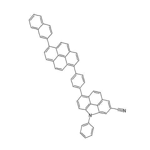 N#Cc1cc2ccc3c(-c4ccc(-c5ccc6ccc7c(-c8ccc9ccccc9c8)ccc8ccc5c6c87)cc4)ccc4c3c2c(c1)n4-c1ccccc1